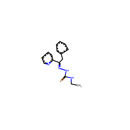 CCNC(=S)N/N=C(\Cc1ccccc1)c1ccccn1